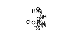 Cc1sc2c(c1C)C(c1ccc(Cl)cc1)=NC(CC(=O)NCCN1CCONC1)c1nnc(C)n1-2